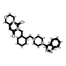 O=c1cc2n(c(=O)n1CC1CCCCC1CN1CCN(c3nsc4ccccc34)CC1)CCOC2